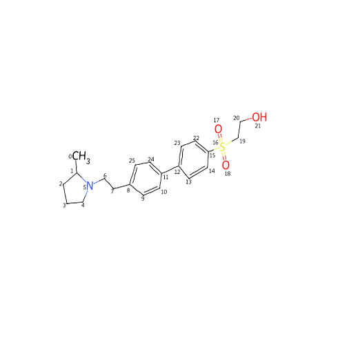 CC1CCCN1CCc1ccc(-c2ccc(S(=O)(=O)CCO)cc2)cc1